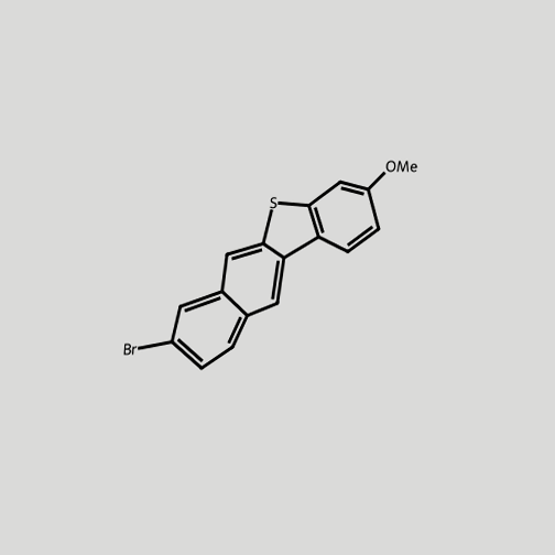 COc1ccc2c(c1)sc1cc3cc(Br)ccc3cc12